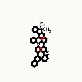 CC1(C)c2ccccc2-c2c(-c3ccccc3N(c3ccc(-c4ccc5ccccc5c4)cc3)c3ccccc3-c3ccc4c(c3)sc3ccccc34)cccc21